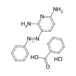 Cl.Nc1ccc(/N=N/c2ccccc2)c(N)n1.O=C(O)c1ccccc1